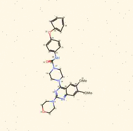 COc1cc2nc(N3CCOCC3)nc(N3CCN(C(=O)Nc4ccc(Oc5ccccc5)cc4)CC3)c2cc1OC